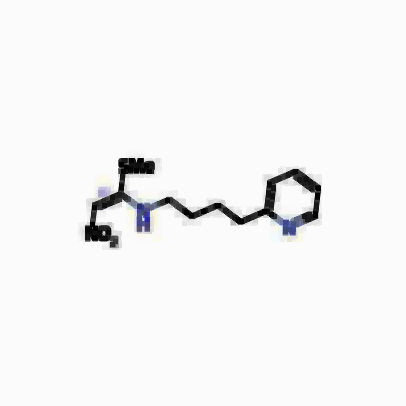 CS/C(=C/[N+](=O)[O-])NCCCCc1ccccn1